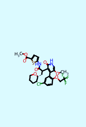 COC(=O)c1ccc(NC(=O)C(C[C@@H]2CCCCO2)c2c(-c3cc(Cl)ccc3OCC(F)(F)F)c(OC)c[nH]c2=O)s1